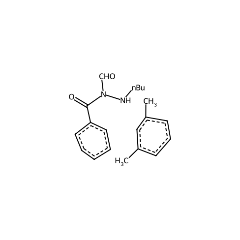 CCCCNN(C=O)C(=O)c1ccccc1.Cc1cccc(C)c1